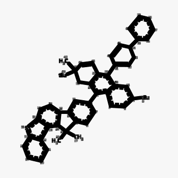 CC(C)(C)c1ccc2c(-c3ccc4c(c3)-c3ccc5sc6ccccc6c5c3C4(C)C)c3c(c(C4=CCC(c5ccccc5)C=C4)c2c1)C=CC(C)(C(C)(C)C)C3